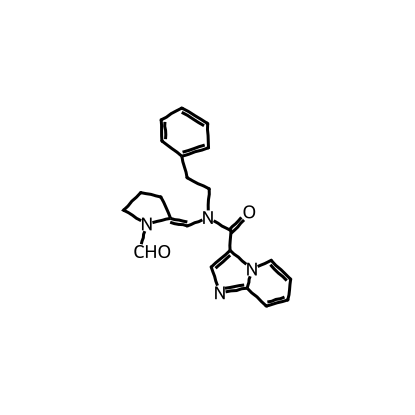 O=CN1CCC/C1=C\N(CCc1ccccc1)C(=O)c1cnc2ccccn12